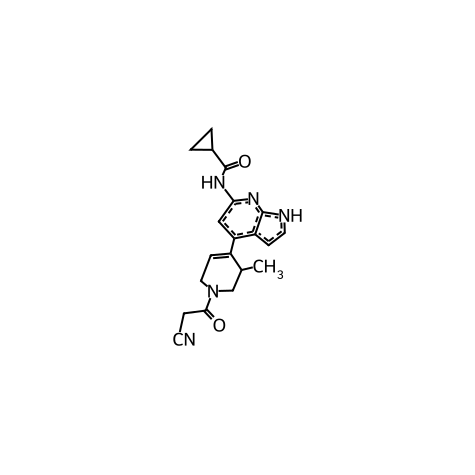 CC1CN(C(=O)CC#N)CC=C1c1cc(NC(=O)C2CC2)nc2[nH]ccc12